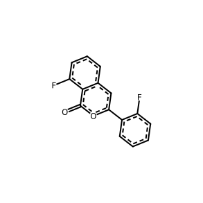 O=c1oc(-c2ccccc2F)cc2cccc(F)c12